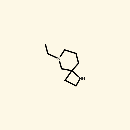 CCN1CCCC2(CCN2)C1